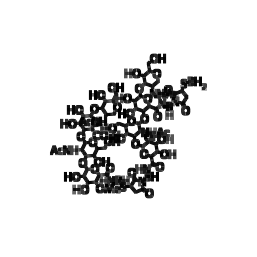 BSC1CC(=O)N(BNC(=O)C2OC(OC3C(NC(C)=O)COC(CO)C3O)C(O)C(O)C2OC2OC(CO)C(O)C(OC3OC(C(=O)NBN4C(=O)CC(SBNC(=O)C5OC(OC6C(O)C(CO)OC(OC7C(C(=O)O)OC(OC8C(NC(C)=O)COC(CO)C8O)C(O)C7O)C6NC(C)=O)C(O)C(O)C5OC)C4=O)C(O)C(O)C3O)C2NC(C)=O)C1=O